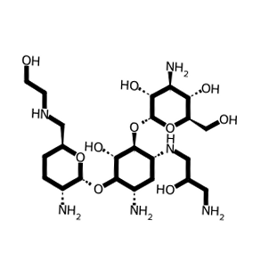 NCC(O)CN[C@@H]1C[C@H](N)C(O[C@H]2O[C@H](CNCCO)CC[C@H]2N)[C@H](O)[C@H]1O[C@H]1O[C@H](CO)[C@@H](O)[C@H](N)[C@H]1O